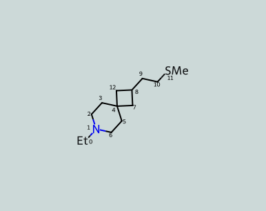 CCN1CCC2(CC1)CC(CCSC)C2